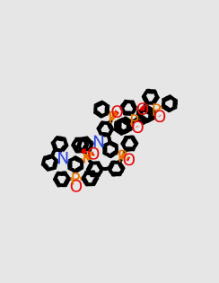 O=P(c1ccccc1)(c1ccccc1)c1cc(-n2c3ccccc3c3ccccc32)cc(P(=O)(c2ccccc2)c2cccc(-c3cccc(P(=O)(c4ccccc4)c4ccc5c(c4)c4cc(P(=O)(c6ccccc6)c6cccc(-c7ccc(P(=O)(c8ccccc8)c8ccccc8Oc8ccccc8P(=O)(c8ccccc8)c8ccccc8)cc7)c6)ccc4n5-c4ccccc4)c3)c2)c1